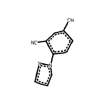 N#Cc1ccc(-n2c[c]cn2)c(C#N)c1